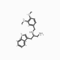 COc1ccc(CNC(CN)Cc2csc3ccccc23)cc1OC